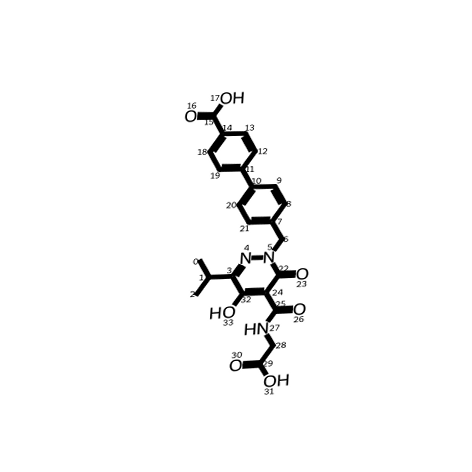 CC(C)c1nn(Cc2ccc(-c3ccc(C(=O)O)cc3)cc2)c(=O)c(C(=O)NCC(=O)O)c1O